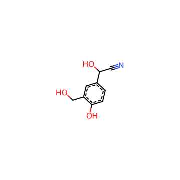 N#CC(O)c1ccc(O)c(CO)c1